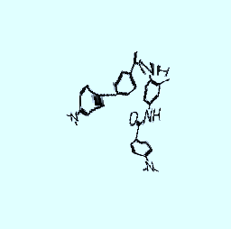 C=C(Nc1ccc(NC(=O)c2ccc(N(C)C)cc2)cc1C)c1ccc(-c2ccc(N(C)C)cc2)cc1